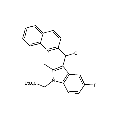 CCOC(=O)Cn1c(C)c(C(O)c2ccc3ccccc3n2)c2cc(F)ccc21